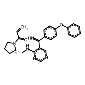 C=CC(=O)N1CCC[C@H]1CNc1ncncc1C(=N)c1ccc(Oc2ccccc2)cc1